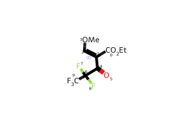 CCOC(=O)/C(=C\OC)C(=O)C(F)(F)C(F)(F)F